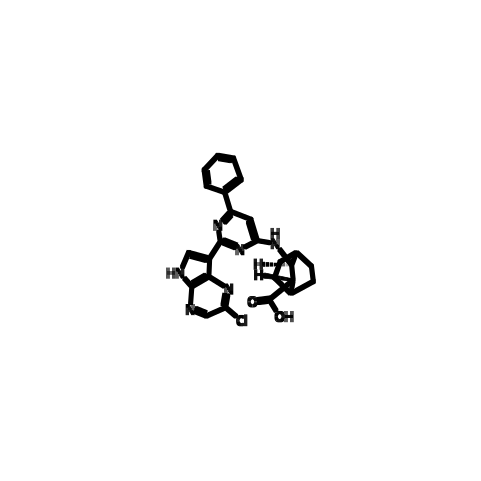 O=C(O)[C@H]1C2CCC(CC2)[C@@H]1Nc1cc(-c2ccccc2)nc(-c2c[nH]c3ncc(Cl)nc23)n1